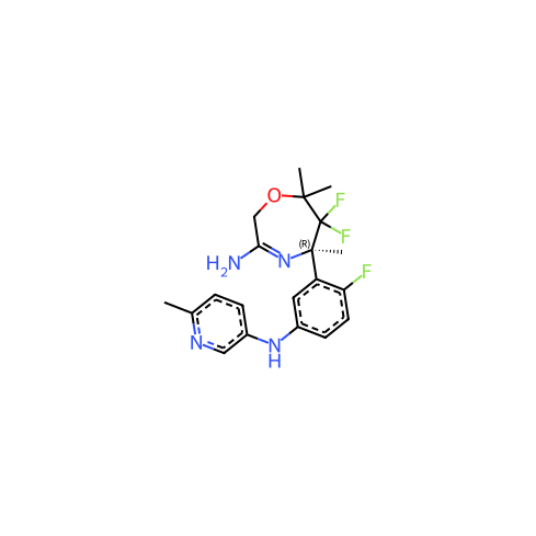 Cc1ccc(Nc2ccc(F)c([C@@]3(C)N=C(N)COC(C)(C)C3(F)F)c2)cn1